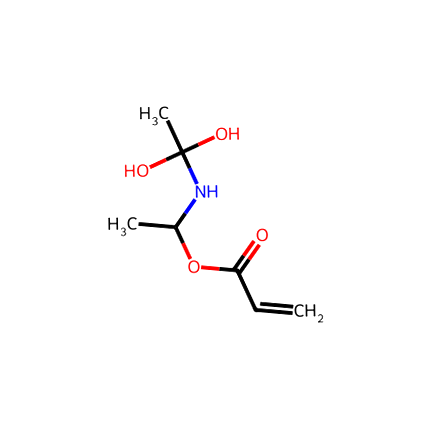 C=CC(=O)OC(C)NC(C)(O)O